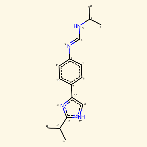 CC(C)N/C=N/c1ccc(-c2c[nH]c(C(C)C)n2)cc1